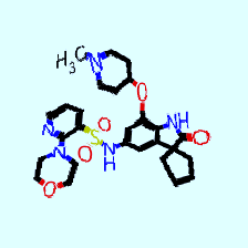 CN1CCC(Oc2cc(NS(=O)(=O)c3cccnc3N3CCOCC3)cc3c2NC(=O)C32CCCC2)CC1